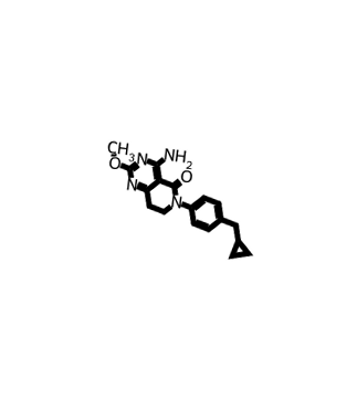 COc1nc(N)c2c(n1)CCN(c1ccc(CC3CC3)cc1)C2=O